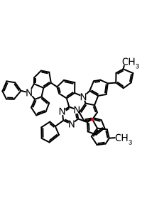 Cc1cccc(-c2ccc3c(c2)c2cc(-c4cccc(C)c4)ccc2n3-c2ccc(-c3cccc4c3c3ccccc3n4-c3ccccc3)cc2-c2nc(-c3ccccc3)nc(-c3ccccc3)n2)c1